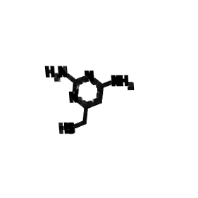 Nc1cc(CS)nc(N)n1